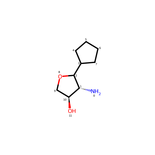 N[C@H]1C(C2CCCC2)OC[C@@H]1O